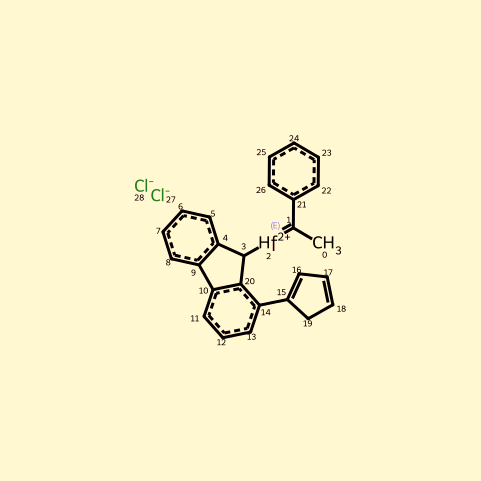 C/[C](=[Hf+2]\[CH]1c2ccccc2-c2cccc(C3=CC=CC3)c21)c1ccccc1.[Cl-].[Cl-]